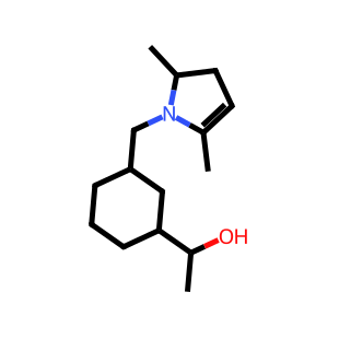 CC1=CCC(C)N1CC1CCCC(C(C)O)C1